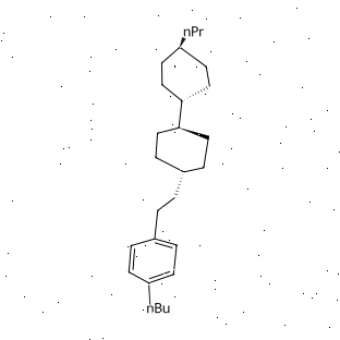 CCCCc1ccc(CC[C@H]2CC[C@H]([C@H]3CC[C@H](CCC)CC3)CC2)cc1